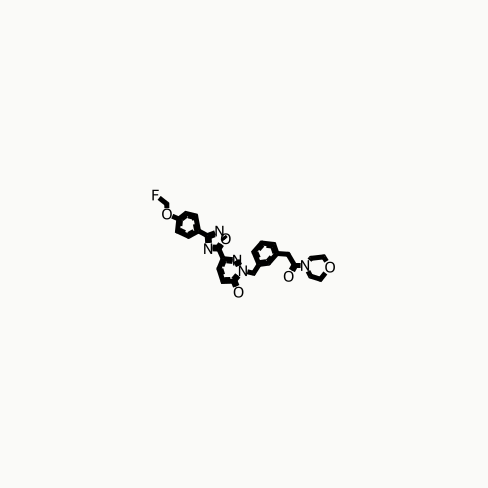 O=C(Cc1cccc(Cn2nc(-c3nc(-c4ccc(OCF)cc4)no3)ccc2=O)c1)N1CCOCC1